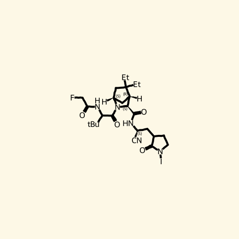 CCC1(CC)C[C@@H]2C[C@H]1[C@@H](C(=O)N[C@H](C#N)CC1CCN(I)C1=O)N2C(=O)C(NC(=O)CF)C(C)(C)C